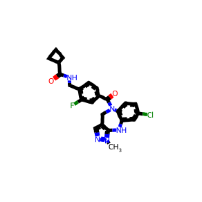 Cn1ncc2c1Nc1cc(Cl)ccc1N(C(=O)c1ccc(CNC(=O)C3CCC3)c(F)c1)C2